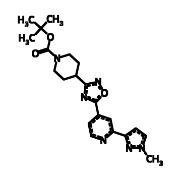 Cn1ccc(-c2cc(-c3nc(C4CCN(C(=O)OC(C)(C)C)CC4)no3)ccn2)n1